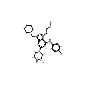 CCOCCn1nc(CN2CCCCC2)c2nc(N3CCN[C@@H](C)C3)nc(Nc3ccc(F)cc3)c21